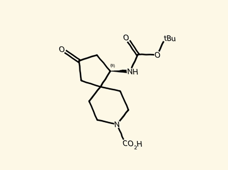 CC(C)(C)OC(=O)N[C@@H]1CC(=O)CC12CCN(C(=O)O)CC2